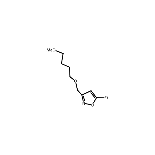 CCc1cc(COCCCCOC)no1